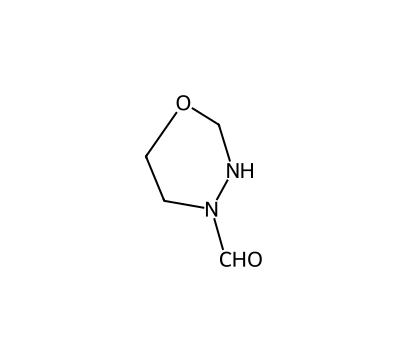 O=CN1CCOCN1